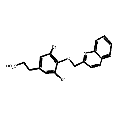 O=C(O)CCc1cc(Br)c(OCc2ccc3ccccc3n2)c(Br)c1